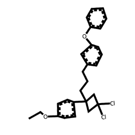 CCOc1ccc(C2(CCCc3cccc(Oc4ccccc4)c3)CC(Cl)(Cl)C2)cc1